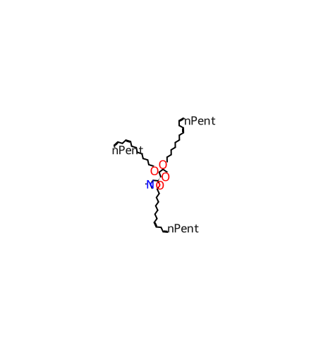 CCCCC/C=C\C/C=C\CCCCCCCCOC(CN(C)C)[C@H]1OC[C@H](OCCCCCCCC/C=C\C/C=C\CCCCC)[C@H]1OCCCCCCCC/C=C\C/C=C\CCCCC